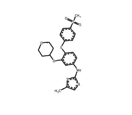 Cc1cnc(Nc2ccc(Sc3ccc(S(C)(=O)=O)cc3)c(OC3CCOCC3)c2)s1